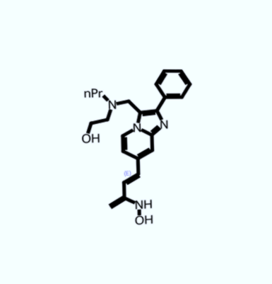 C=C(/C=C/c1ccn2c(CN(CCC)CCO)c(-c3ccccc3)nc2c1)NO